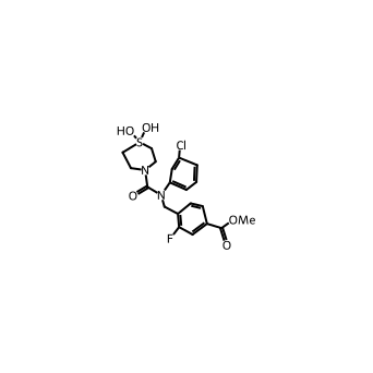 COC(=O)c1ccc(CN(C(=O)N2CCS(O)(O)CC2)c2cccc(Cl)c2)c(F)c1